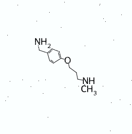 CNCCCOc1ccc(CN)cc1